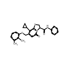 Cc1cccc(OCc2cc(=O)n3c(c2C2CC2)SCC3C(=O)Nc2ccccc2)c1C